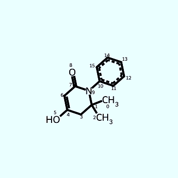 CC1(C)CC(O)=CC(=O)N1c1ccccc1